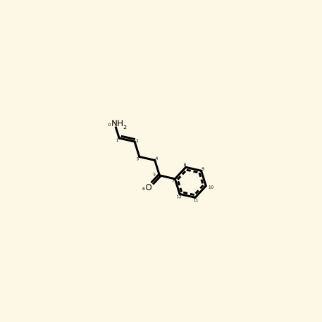 NC=CCCC(=O)c1ccccc1